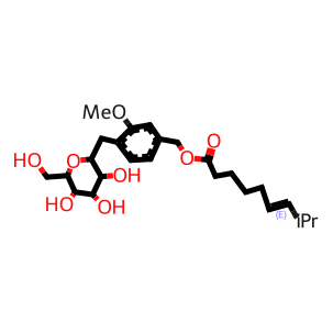 COc1cc(COC(=O)CCCC/C=C/C(C)C)ccc1CC1OC(CO)C(O)C(O)C1O